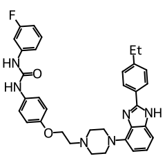 CCc1ccc(-c2nc3c(N4CCN(CCOc5ccc(NC(=O)Nc6cccc(F)c6)cc5)CC4)cccc3[nH]2)cc1